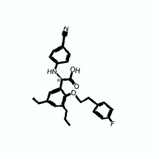 CCCc1cc(CC)cc([C@@H](Nc2ccc(C#N)cc2)C(=O)O)c1OCCc1ccc(F)cc1